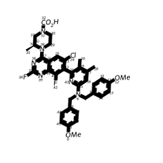 COc1ccc(CN(Cc2ccc(OC)cc2)c2cc(C)c(C)c(-c3c(Cl)cc4c(N5CCN(C(=O)O)C[C@@H]5C)nc(F)nc4c3F)n2)cc1